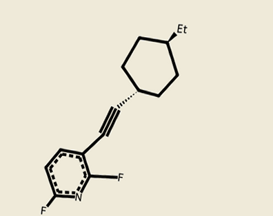 CC[C@H]1CC[C@H](C#Cc2ccc(F)nc2F)CC1